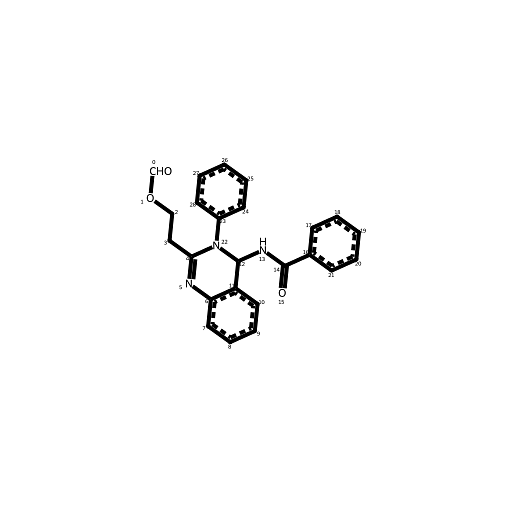 O=COCCC1=Nc2ccccc2C(NC(=O)c2ccccc2)N1c1ccccc1